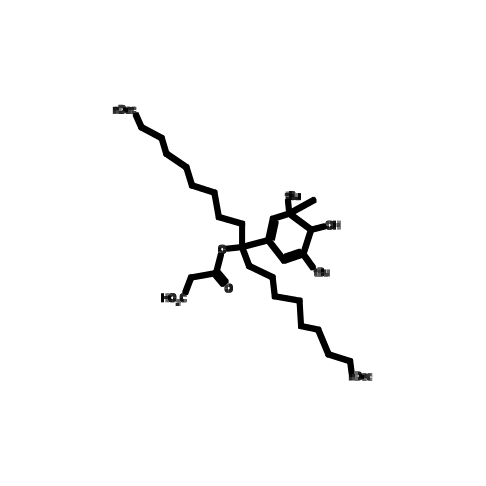 CCCCCCCCCCCCCCCCCCC(CCCCCCCCCCCCCCCCCC)(OC(=O)CC(=O)O)C1=CC(C)(C(C)(C)C)C(O)C(C(C)(C)C)=C1